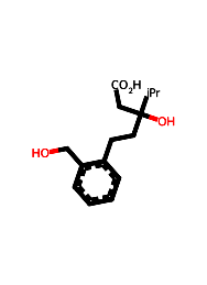 CC(C)C(O)(CCc1ccccc1CO)CC(=O)O